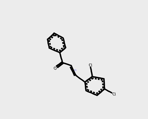 O=C(/C=C/c1ccc(Cl)cc1Cl)c1ccccc1